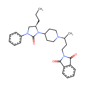 CCC[C@@H]1CN(c2ccccc2)C(=O)N1C1CCN(C(C)CCN2C(=O)c3ccccc3C2=O)CC1